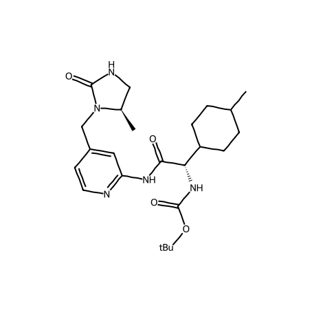 CC1CCC([C@H](NC(=O)OC(C)(C)C)C(=O)Nc2cc(CN3C(=O)NC[C@H]3C)ccn2)CC1